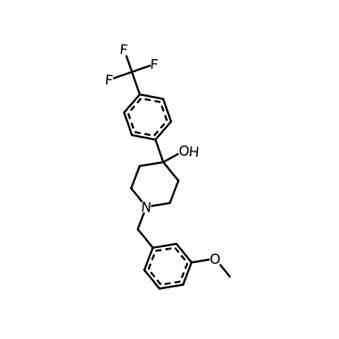 COc1cccc(CN2CCC(O)(c3ccc(C(F)(F)F)cc3)CC2)c1